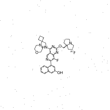 Oc1cc(-c2ncc3c(NCC4(N5CCOCC5)CCC4)nc(OC[C@@]45CCCN4C[C@H](F)C5)nc3c2F)c2ccccc2c1